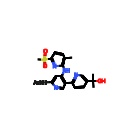 CC(=O)Nc1cc(Nc2nc(S(C)(=O)=O)ccc2C)c(-c2ccc(C(C)(C)O)cn2)cn1